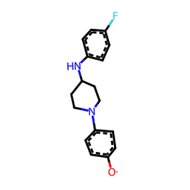 [O]c1ccc(N2CCC(Nc3ccc(F)cc3)CC2)cc1